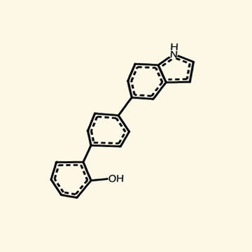 Oc1ccccc1-c1ccc(-c2ccc3[nH]ccc3c2)cc1